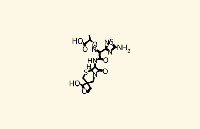 C=CC1(C(=O)O)CS[C@@H]2C(NC(=O)C(=NOC(C)C(=O)O)c3nsc(N)n3)C(=O)N2C1